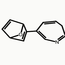 C1=CC(C2=CC3C=CC2O3)=CN=CC1